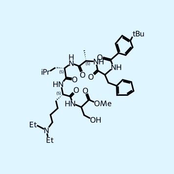 CCN(CC)CCCC[C@H](NC(=O)[C@H](CC(C)C)NC(=O)[C@H](C)NC(=O)C(Cc1ccccc1)NC(=O)c1ccc(C(C)(C)C)cc1)C(=O)NC(CO)C(=O)OC